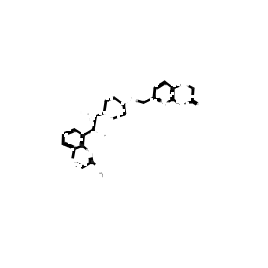 COc1cnc2cccc([C@H](O)[C@@H](O)[C@H]3CC[C@H](NCc4ccc5c(n4)NC(=O)CO5)CC3)c2n1